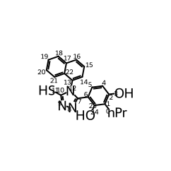 CCCc1c(O)ccc(-c2nnc(S)n2-c2cccc3ccccc23)c1O